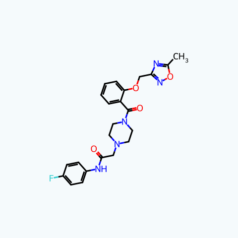 Cc1nc(COc2ccccc2C(=O)N2CCN(CC(=O)Nc3ccc(F)cc3)CC2)no1